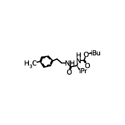 CCC(C)OC(=O)N[C@H](C(=O)NCCc1ccc(C)cc1)C(C)C